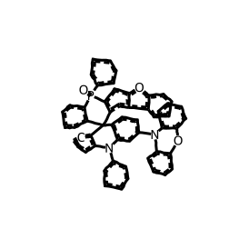 O=P1(c2ccccc2)c2ccccc2C2(c3ccccc3N(c3ccccc3)c3cc(N4c5ccccc5Oc5ccccc54)ccc32)c2cc3c(cc21)oc1ccccc13